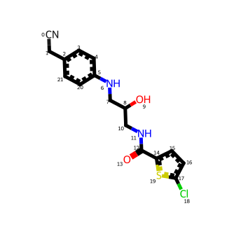 N#CCc1ccc(NCC(O)CNC(=O)c2ccc(Cl)s2)cc1